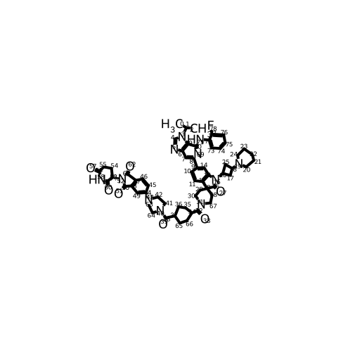 CC(C)n1cnc2cc(-c3ccc4c(c3)N(C3CC(N5CCCCC5)C3)C(=O)C43CCN(C(=O)C4CCC(C(=O)N5CCN(c6ccc7c(c6)C(=O)N([C@@H]6CCC(=O)NC6=O)C7=O)CC5)CC4)CC3)nc(Nc3ccccc3F)c21